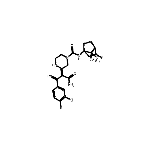 CC1(C)C2CCC1(NC(=O)N1CCN/C(=C(\C(=N)c3ccc(F)c(Cl)c3)C(N)=O)C1)CC2F